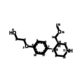 OCCOc1ccc([C@H]2CCNC[C@@H]2COI)cc1